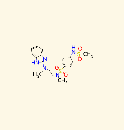 CN(CCN(C)S(=O)(=O)c1ccc(NS(C)(=O)=O)cc1)c1nc2ccccc2[nH]1